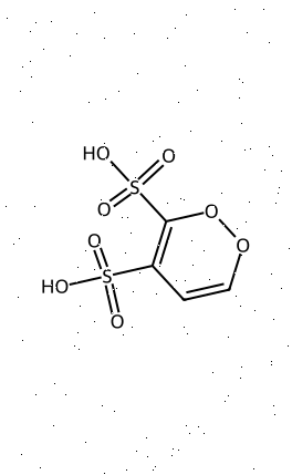 O=S(=O)(O)C1=C(S(=O)(=O)O)OOC=C1